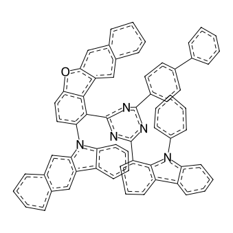 c1ccc(-c2ccc(-c3nc(-c4c(-n5c6ccccc6c6cc7ccccc7cc65)ccc5oc6cc7ccccc7cc6c45)nc(-c4cccc5c6ccccc6n(-c6ccccc6)c45)n3)cc2)cc1